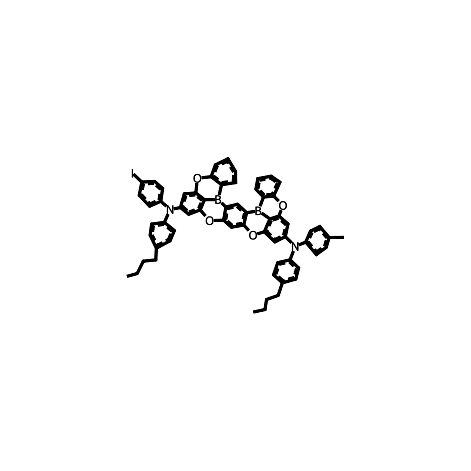 CCCCc1ccc(N(c2ccc(C)cc2)c2cc3c4c(c2)Oc2cc5c(cc2B4c2ccccc2O3)B2c3ccccc3Oc3cc(N(c4ccc(I)cc4)c4ccc(CCCC)cc4)cc(c32)O5)cc1